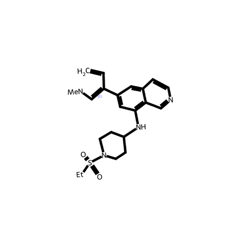 C=C/C(=C\NC)c1cc(NC2CCN(S(=O)(=O)CC)CC2)c2cnccc2c1